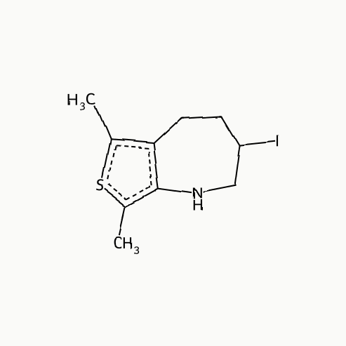 Cc1sc(C)c2c1CCC(I)CN2